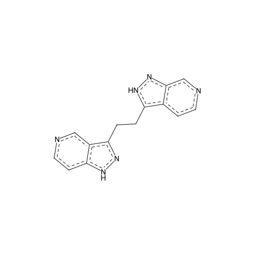 c1cc2c(CCc3n[nH]c4ccncc34)[nH]nc2cn1